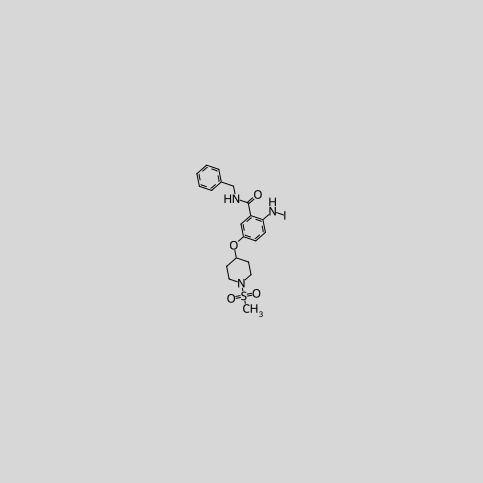 CS(=O)(=O)N1CCC(Oc2ccc(NI)c(C(=O)NCc3ccccc3)c2)CC1